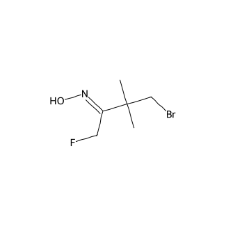 CC(C)(CBr)C(CF)=NO